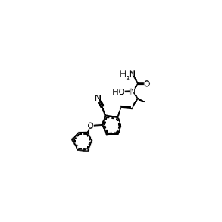 CC(C=Cc1cccc(Oc2ccccc2)c1C#N)N(O)C(N)=O